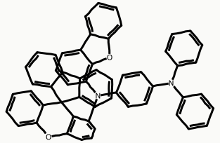 c1ccc(N(c2ccccc2)c2ccc(N(c3cccc4c3C3(c5ccccc5O4)c4ccccc4-c4ccccc43)c3cccc4c3oc3ccccc34)cc2)cc1